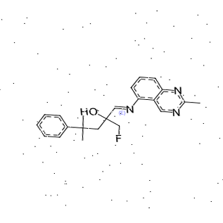 Cc1ncc2c(/N=C/C(O)(CF)CC(C)(C)c3ccccc3)cccc2n1